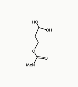 CNC(=O)OCCC(O)O